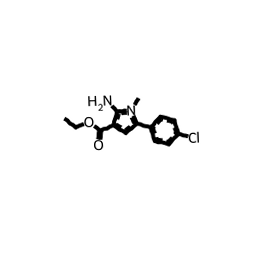 CCOC(=O)c1cc(-c2ccc(Cl)cc2)n(C)c1N